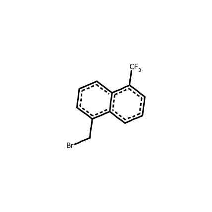 FC(F)(F)c1cccc2c(CBr)cccc12